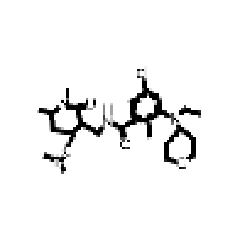 CCN(c1cc(Cl)cc(C(=O)NCC2C(=O)NC(C)CC2CN(C)C)c1C)C1CCOCC1